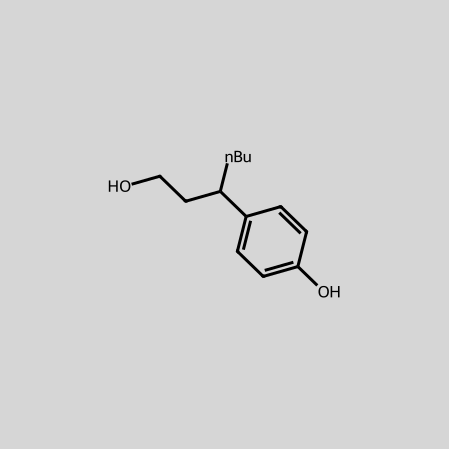 CCCCC(CCO)c1ccc(O)cc1